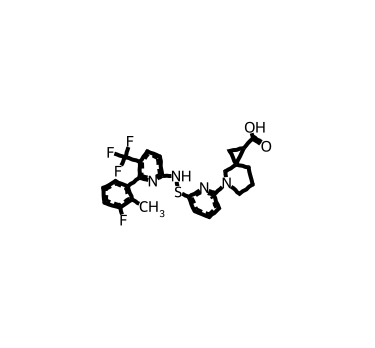 Cc1c(F)cccc1-c1nc(NSc2cccc(N3CCCC4(CC4C(=O)O)C3)n2)ccc1C(F)(F)F